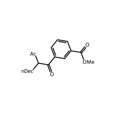 CCCCCCCCCCC(C(C)=O)C(=O)c1cccc(C(=O)OC)c1